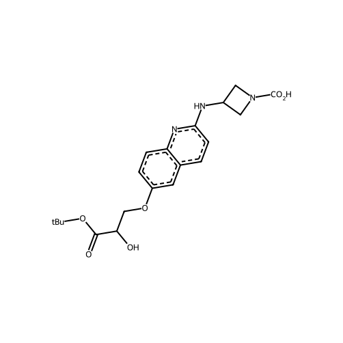 CC(C)(C)OC(=O)C(O)COc1ccc2nc(NC3CN(C(=O)O)C3)ccc2c1